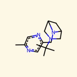 Cc1cnc(CN2C3CC2CN(C(C)(C)C)C3)cn1